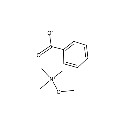 CO[N+](C)(C)C.O=C([O-])c1ccccc1